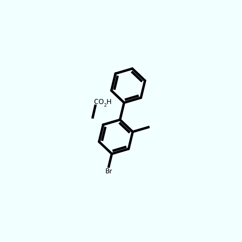 CC(=O)O.Cc1cc(Br)ccc1-c1ccccc1